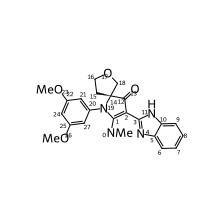 CNC1=C(c2nc3ccccc3[nH]2)C(=O)[C@]2(CCOC2)N1c1cc(OC)cc(OC)c1